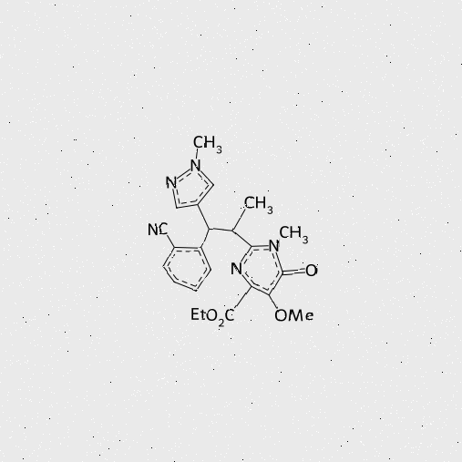 CCOC(=O)c1nc(C(C)C(c2cnn(C)c2)c2ccccc2C#N)n(C)c(=O)c1OC